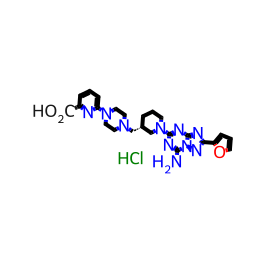 Cl.Nc1nc(N2CCC[C@@H](CN3CCN(c4cccc(C(=O)O)n4)CC3)C2)nc2nc(-c3ccco3)nn12